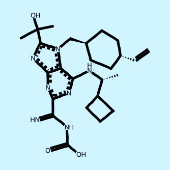 C=C[C@H]1CC[C@H](Cn2c(C(C)(C)O)nc3nc(C(=N)NC(=O)O)nc(N[C@H](C)C4CCC4)c32)CC1